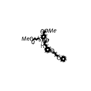 COC(=O)CCCSc1cc(C(=O)OC)ccc1NC(=O)CCc1cccc(OCCCCOc2ccccc2)c1